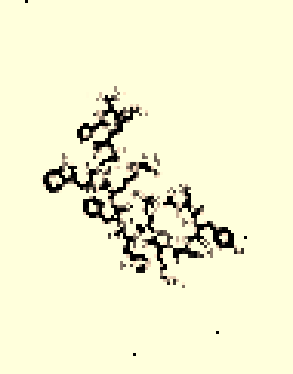 CSCCC(NC(=O)C(CO)NC(=O)C(Cc1ccc(O)cc1)NC(=O)C(CO)NC(C)=O)C(=O)NC(CCC(=O)O)C(=O)NC(Cc1cnc[nH]1)C(=O)NC(Cc1ccccc1)C(=O)NC(CCCNC(=N)N)C(=O)NC(Cc1c[nH]c2ccccc12)C(=O)NCC(=O)NC(CCCCN)C(=O)N1CCCC1C(=O)NC(C(N)=O)C(C)C